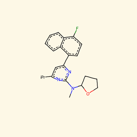 CC(C)c1cc(-c2ccc(F)c3ccccc23)nc(N(C)C2CCCO2)n1